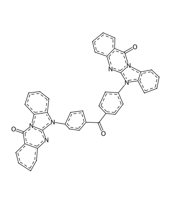 O=C(c1ccc(-n2c3ccccc3n3c(=O)c4ccccc4nc23)cc1)c1ccc(-n2c3ccccc3n3c(=O)c4ccccc4nc23)cc1